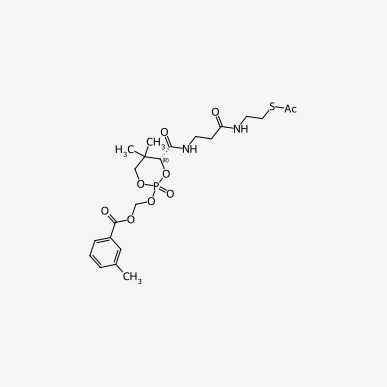 CC(=O)SCCNC(=O)CCNC(=O)[C@@H]1OP(=O)(OCOC(=O)c2cccc(C)c2)OCC1(C)C